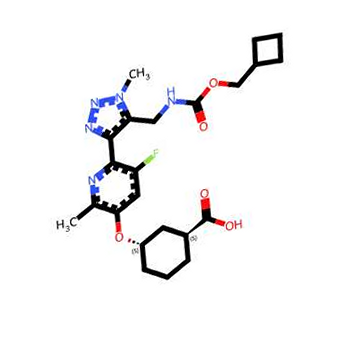 Cc1nc(-c2nnn(C)c2CNC(=O)OCC2CCC2)c(F)cc1O[C@H]1CCC[C@H](C(=O)O)C1